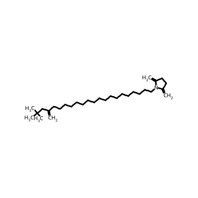 C=C(CCCCCCCCCCCCCCCCCCN1C(=C)CCC1=C)CC(C)(C)C